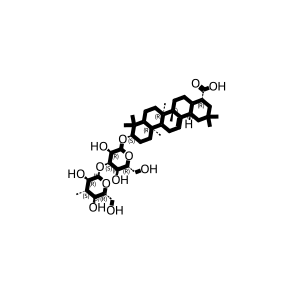 C[C@@H]1[C@@H](O)[C@H](O[C@H]2[C@H](O)[C@@H](CO)OC(O[C@H]3CC[C@@]4(C)C(CC[C@]5(C)C4CC=C4[C@@H]6CC(C)(C)C[C@@H](C(=O)O)C6CC[C@]45C)C3(C)C)[C@@H]2O)O[C@H](CO)[C@H]1O